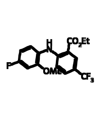 CCOC(=O)c1cc(C(F)(F)F)ccc1Nc1ccc(F)cc1OC